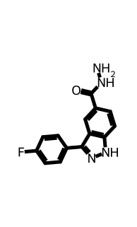 NNC(=O)c1ccc2[nH]nc(-c3ccc(F)cc3)c2c1